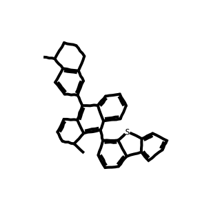 CC1CCCc2cc(-c3c4c(c(-c5cccc6c5sc5ccccc56)c5ccccc35)C(C)CC=C4)ccc21